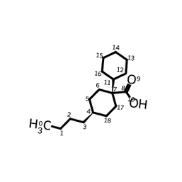 CCCC[C@H]1CC[C@@](C(=O)O)(C2CCCCC2)CC1